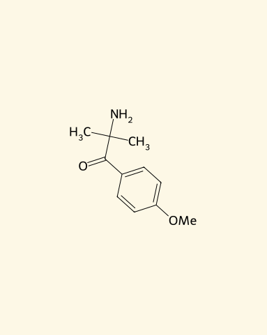 COc1ccc(C(=O)C(C)(C)N)cc1